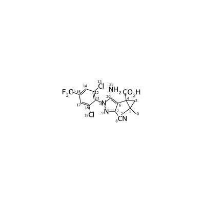 CC1(C)CC1(C(=O)O)c1c(C#N)nn(-c2c(Cl)cc(C(F)(F)F)cc2Cl)c1N